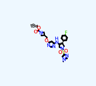 Cn1cnc(S(=O)(=O)N2C[C@H](Nc3cc(OCC4CN(C(=O)OC(C)(C)C)C4)ncn3)[C@@H](c3ccc(F)cc3)C2)c1